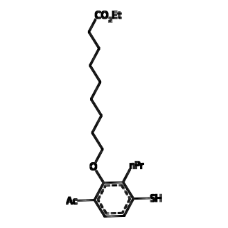 CCCc1c(S)ccc(C(C)=O)c1OCCCCCCCCC(=O)OCC